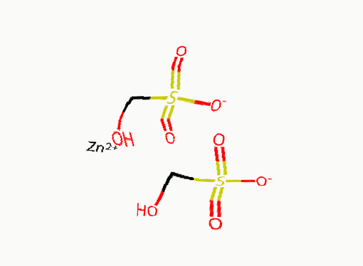 O=S(=O)([O-])CO.O=S(=O)([O-])CO.[Zn+2]